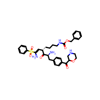 NC(=C[C@H](CCCCNC(=O)OCc1ccccc1)C(=O)[C@@H](N)Cc1ccc(C(=O)C2CNCCO2)cc1)S(=O)(=O)c1ccccc1